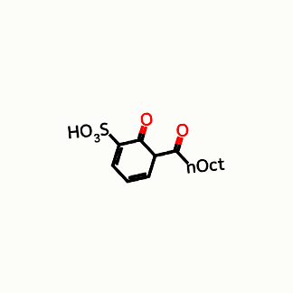 CCCCCCCCC(=O)C1C=CC=C(S(=O)(=O)O)C1=O